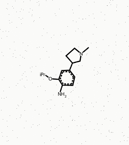 CC(C)Oc1cc(C2CCN(C)C2)ccc1N